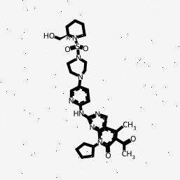 CC(=O)c1c(C)c2cnc(Nc3ccc(N4CCN(S(=O)(=O)N5CCCC[C@@H]5CO)CC4)cn3)nc2n(C2CCCC2)c1=O